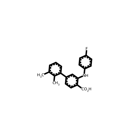 Cc1cccc(-c2ccc(C(=O)O)c(Nc3ccc(F)cc3)c2)c1C